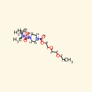 CCCOCCOCCOC(=O)N1CCN(P(=O)(OC)N(C)C)CC1